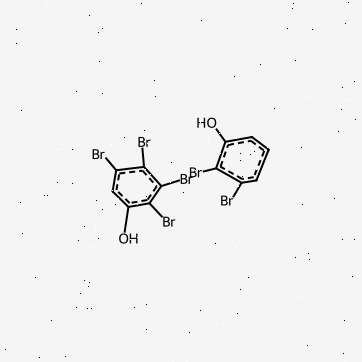 Oc1cc(Br)c(Br)c(Br)c1Br.Oc1cccc(Br)c1Br